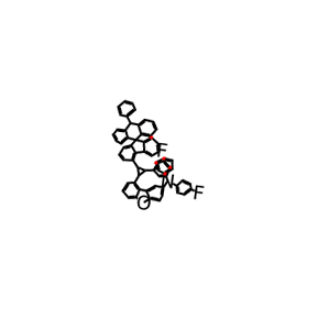 Fc1ccc(N(c2ccc(F)cc2)c2ccc3oc4cccc(C5C(c6ccccc6)C5c5cccc6c5-c5ccccc5C65c6ccccc6C(c6ccccc6)c6ccccc65)c4c3c2)cc1